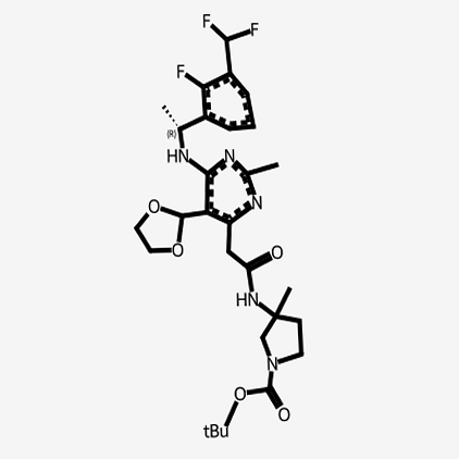 Cc1nc(CC(=O)NC2(C)CCN(C(=O)OC(C)(C)C)C2)c(C2OCCO2)c(N[C@H](C)c2cccc(C(F)F)c2F)n1